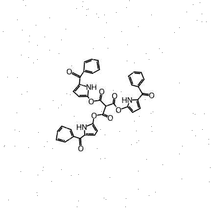 O=C(c1ccccc1)c1ccc(OC(=O)C(C(=O)Oc2ccc(C(=O)c3ccccc3)[nH]2)C(=O)Oc2ccc(C(=O)c3ccccc3)[nH]2)[nH]1